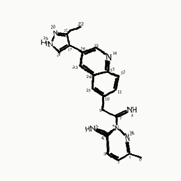 Cc1ccc(=N)n(C(=N)Cc2ccc3ncc(-c4c[nH]nc4C)cc3c2)n1